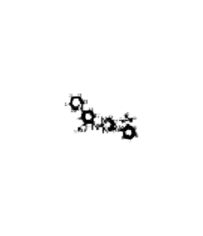 C=P(C)(C)c1ccccc1N1c2cnc(Nc3ccc(N4CCCCC4)cc3OC)nc21